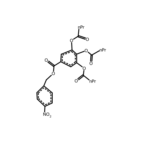 CCCC(=O)Oc1cc(C(=O)OCc2ccc([N+](=O)[O-])cc2)cc(OC(=O)CCC)c1OC(=O)CCC